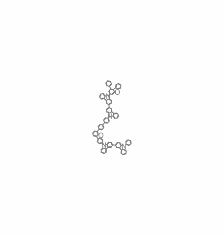 c1ccc(-c2cc(-n3c4ccccc4c4cc(-c5ccc6c(c5)c5ccccc5n6-c5ccc(-c6ccc(-c7cccc8c7oc7cc(-n9c%10ccccc%10c%10cc(-c%11ccc%12c(c%11)c%11ccccc%11n%12-c%11ccccc%11)ccc%109)ccc78)cc6)cc5)ccc43)cc3oc4ccccc4c23)cc1